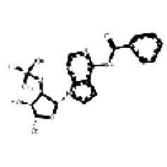 CC[C@H]1O[C@@H](n2ccc3c(NC(=O)c4ccccc4)ncnc32)[C@H](O[Si](C)(C)C(C)(C)C)[C@@H]1O